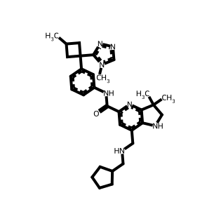 CC1CC(c2cccc(NC(=O)c3cc(CNCC4CCCC4)c4c(n3)C(C)(C)CN4)c2)(c2nncn2C)C1